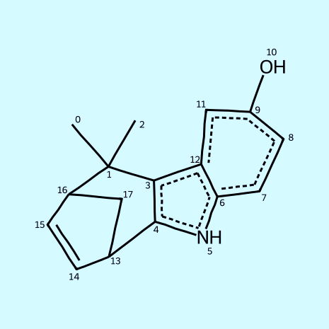 CC1(C)c2c([nH]c3ccc(O)cc23)C2C=CC1C2